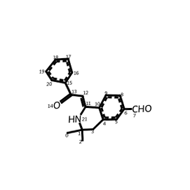 CC1(C)Cc2cc(C=O)ccc2C(=CC(=O)c2ccccc2)N1